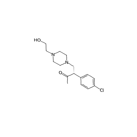 CC(=O)[C@H](CN1CCN(CCO)CC1)c1ccc(Cl)cc1